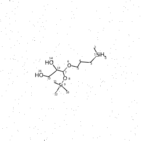 C[SiH](C)CCCOC(O[Si](C)(C)C)C(O)CO